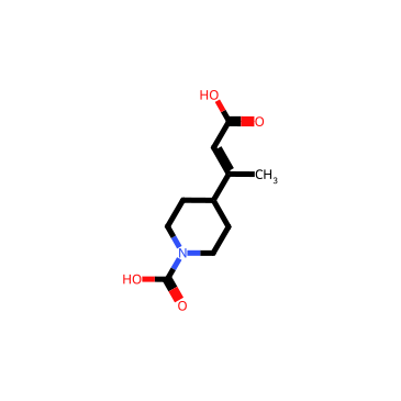 CC(=CC(=O)O)C1CCN(C(=O)O)CC1